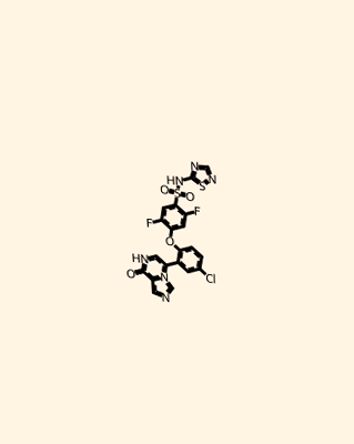 O=c1[nH]cc(-c2cc(Cl)ccc2Oc2cc(F)c(S(=O)(=O)Nc3ncns3)cc2F)n2cncc12